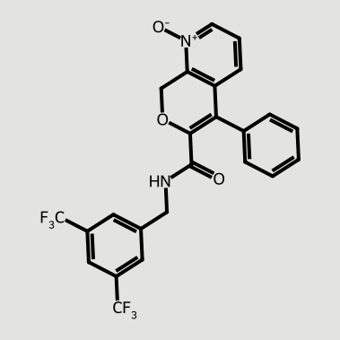 O=C(NCc1cc(C(F)(F)F)cc(C(F)(F)F)c1)C1=C(c2ccccc2)c2ccc[n+]([O-])c2CO1